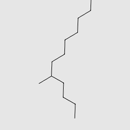 [CH2]CCCCCCC(C)CCCC